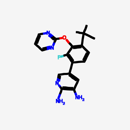 CC(C)(C)c1ccc(-c2cnc(N)c(N)c2)c(F)c1Oc1ncccn1